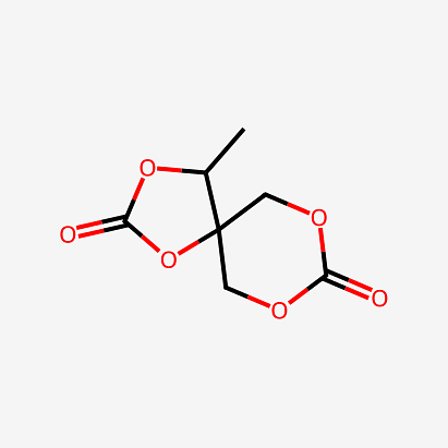 CC1OC(=O)OC12COC(=O)OC2